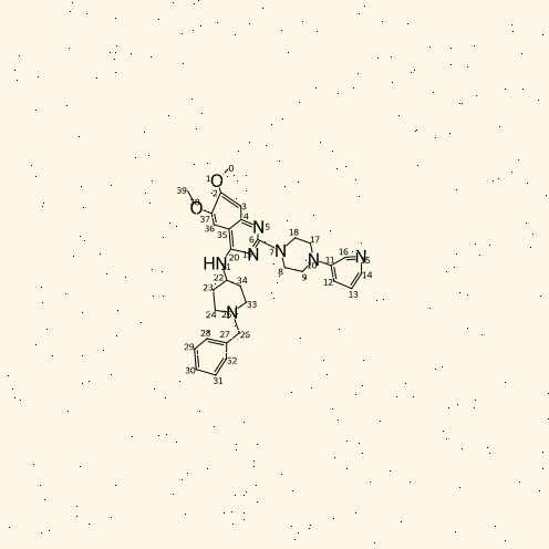 COc1cc2nc(N3CCN(c4cccnc4)CC3)nc(NC3CCN(Cc4ccccc4)CC3)c2cc1OC